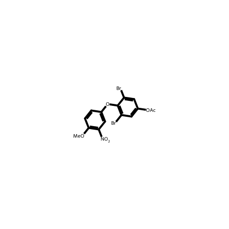 COc1ccc(Oc2c(Br)cc(OC(C)=O)cc2Br)cc1[N+](=O)[O-]